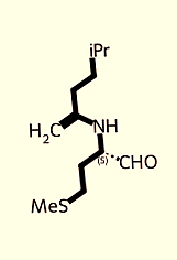 C=C(CCC(C)C)N[C@H](C=O)CCSC